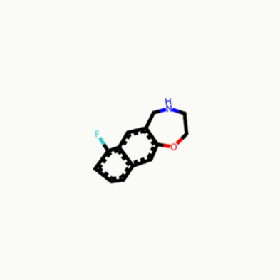 Fc1cccc2cc3c(cc12)CNCCO3